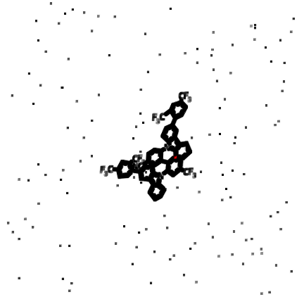 N#Cc1ccc(-n2c3ccccc3c3cc(-c4ccc(C(F)(F)F)cc4C(F)(F)F)ccc32)c(-c2ccc(C(F)(F)F)cc2-n2c3ccccc3c3cc(-c4ccc(C(F)(F)F)cc4C(F)(F)F)ccc32)c1